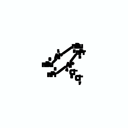 CCC[CH2][Al+][CH2]CCC.CC[CH2][Al+][CH2]CC.[Cl-].[Cl-]